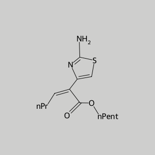 CCCC=C(C(=O)OCCCCC)c1csc(N)n1